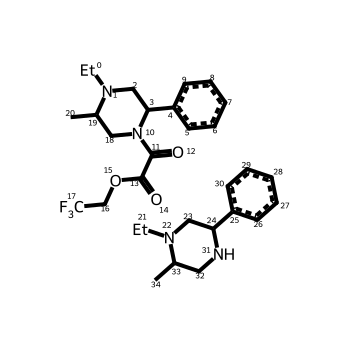 CCN1CC(c2ccccc2)N(C(=O)C(=O)OCC(F)(F)F)CC1C.CCN1CC(c2ccccc2)NCC1C